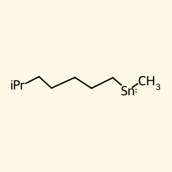 [CH3][Sn][CH2]CCCCC(C)C